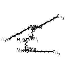 CC#CC#CC#CC#CC#CC#CO[Si](CCCCN(C)CCCN(C)CCCC[Si](OC)(OC#CC#CC#CC#CC#CC#CC)OC#CC#CC#CC#CC#CC#CC)(OC)OC